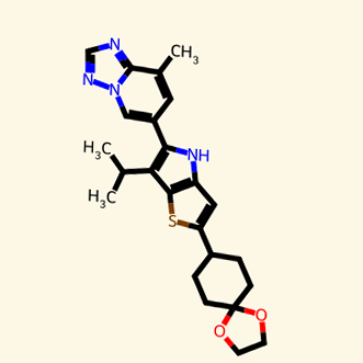 Cc1cc(-c2[nH]c3cc(C4CCC5(CC4)OCCO5)sc3c2C(C)C)cn2ncnc12